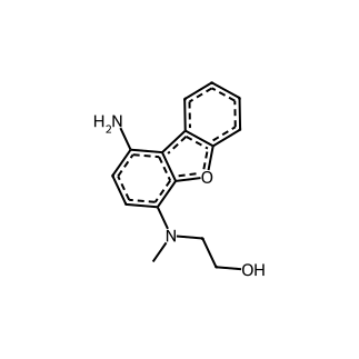 CN(CCO)c1ccc(N)c2c1oc1ccccc12